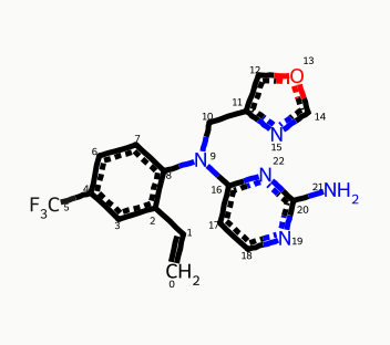 C=Cc1cc(C(F)(F)F)ccc1N(Cc1cocn1)c1ccnc(N)n1